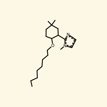 CCCCCCCCOC1CCC(C)(C)CC1c1nccn1C